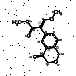 CO/C=C(/C(=O)OC)c1ccc2c(c1)C(=O)COC2